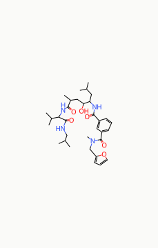 CC(C)CNC(=O)C(NC(=O)C(C)CC(O)C(CC(C)C)NC(=O)c1cccc(C(=O)N(C)Cc2ccco2)c1)C(C)C